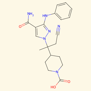 CC(CC#N)(C1CCN(C(=O)O)CC1)n1cc(C(N)=O)c(Nc2ccccc2)n1